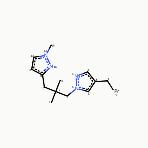 CC(C)Cc1cnn(CC(C)(C)Cc2ccn(C)n2)c1